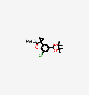 COC(=O)C1(c2cc(Cl)cc(B3OC(C)(C)C(C)(C)O3)c2)CC1